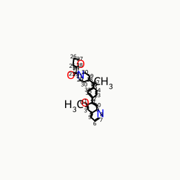 COc1cc2cccnc2cc1-c1ccc([C@H](C)C2CCN(C(=O)[C@H]3CCCO3)CC2)cc1